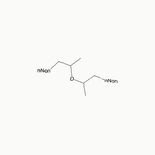 CCCCCCCCCCC(C)OC(C)CCCCCCCCCC